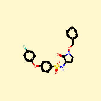 O=C1C(NS(=O)(=O)c2ccc(Oc3ccc(F)cc3)cc2)CCN1OCc1ccccc1